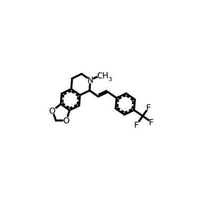 CN1CCc2cc3c(cc2C1C=Cc1ccc(C(F)(F)F)cc1)OCO3